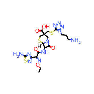 CCON=C(C(=O)NC1C(=O)N2CC(CSc3nnnn3CCCN)(C(=O)O)CS[C@H]12)c1nsc(N)n1